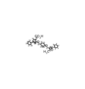 Cc1oc(-c2ccccc2)nc1COc1ccc(COc2nn(-c3ccccc3)cc2CC(=O)O)cn1